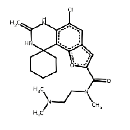 C=C1Nc2c(Cl)cc3cc(C(=O)N(C)CCN(C)C)oc3c2C2(CCCCC2)N1